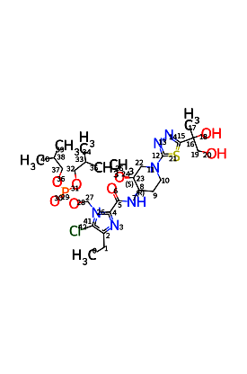 CCc1nc(C(=O)N[C@@H]2CCN(c3nnc(C(C)(O)CO)s3)C[C@@H]2OC)n(COP(=O)(OCC(C)C)OCC(C)C)c1Cl